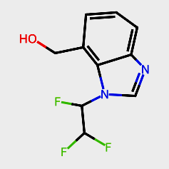 OCc1cccc2ncn(C(F)C(F)F)c12